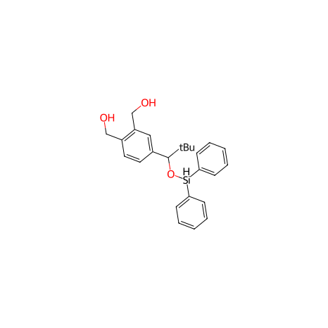 CC(C)(C)C(O[SiH](c1ccccc1)c1ccccc1)c1ccc(CO)c(CO)c1